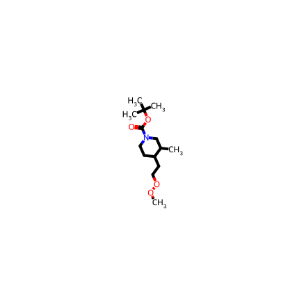 COOCCC1CCN(C(=O)OC(C)(C)C)CC1C